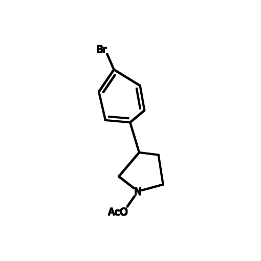 CC(=O)ON1CCC(c2ccc(Br)cc2)C1